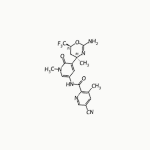 Cc1cc(C#N)cnc1C(=O)Nc1cc([C@@]2(C)C[C@@H](C(F)(F)F)OC(N)=N2)c(=O)n(C)c1